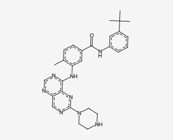 Cc1ccc(C(=O)Nc2cccc(C(C)(C)C)c2)cc1Nc1ncnc2cnc(N3CCNCC3)nc12